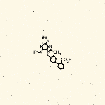 Cc1nc2c(SC(C)C)nnc(SC(C)C)c2n1Cc1ccc(-c2ccccc2C(=O)O)cc1